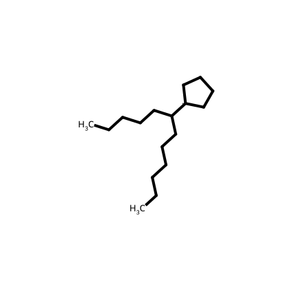 CCCCCCC(CCCCC)[C]1CCCC1